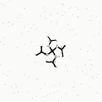 CC(C)OC(OC(C)C)(OC(C)C)OC(C)C